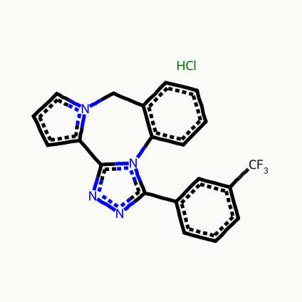 Cl.FC(F)(F)c1cccc(-c2nnc3n2-c2ccccc2Cn2cccc2-3)c1